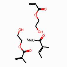 C=C(C)C(=O)OCCO.C=CC(=O)OCCO.CC=C(C)C(=O)OC